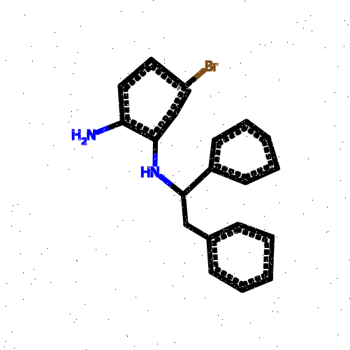 Nc1ccc(Br)cc1NC(Cc1ccccc1)c1ccccc1